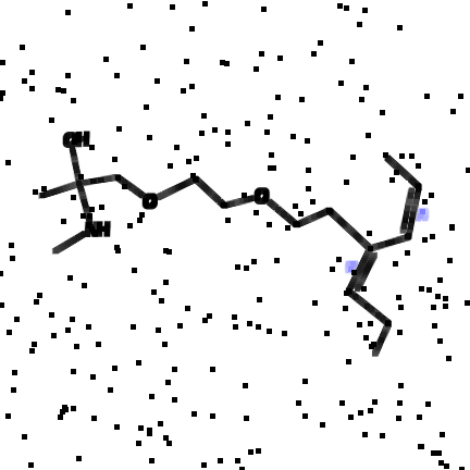 C/C=C\C(=C/CC)CCOCCOCC(C)(O)NC